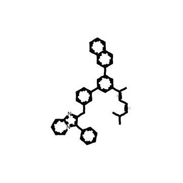 C/C(=C\C=C/C(C)C)c1cc(-c2cccc(Cc3nc4ccccn4c3-c3ccccc3)c2)cc(-c2ccc3ccccc3c2)c1